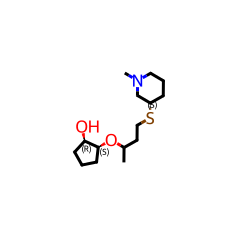 CC(CCS[C@H]1CCCN(C)C1)O[C@H]1CCC[C@H]1O